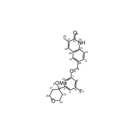 COC1(c2cc(F)cc(OCc3ccc4[nH]c(=O)c(C)cc4c3)c2)CCOCC1